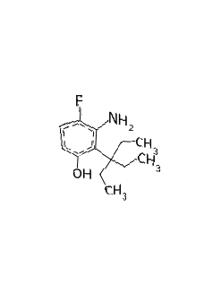 CCC(CC)(CC)c1c(O)ccc(F)c1N